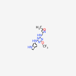 Cc1cc(CNc2nc(Nc3ccc4cc[nH]c4c3)nc(OCC(F)(F)F)n2)no1